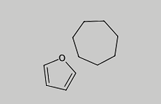 C1CCCCCC1.c1ccoc1